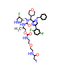 C[C@@H](COC(=O)NCCOCCNC(=O)CI)NC(=O)N(C[C@@H]1CNC[C@@H]1F)[C@@H](c1nc(-c2cc(F)ccc2F)cn1Cc1ccccc1)C1CCOCC1